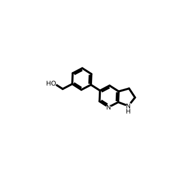 OCc1cccc(-c2cnc3c(c2)CCN3)c1